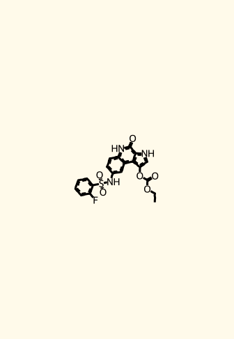 CCOC(=O)Oc1c[nH]c2c(=O)[nH]c3ccc(NS(=O)(=O)c4ccccc4F)cc3c12